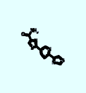 NC(=O)c1csc(-c2ccc(-c3cscn3)nc2)n1